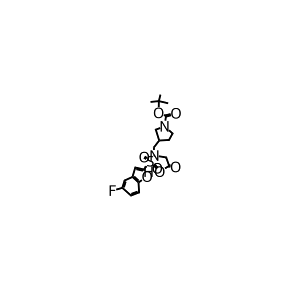 CC(C)(C)OC(=O)N1CCC(CN(CC(=O)O)S(=O)(=O)c2cc3cc(F)ccc3o2)C1